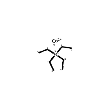 CC[N+](CC)(CC)CC.[Co+2]